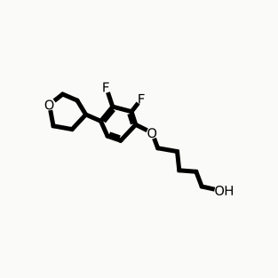 OCCCCCOc1ccc(C2CCOCC2)c(F)c1F